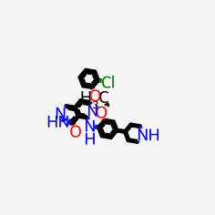 CCOc1cc(C2CCNCC2)ccc1Nc1nc(Oc2ccccc2Cl)cc2cn[nH]c(=O)c12